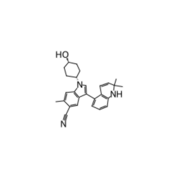 Cc1cc2c(cc1C#N)c(-c1cccc3c1C=CC(C)(C)N3)cn2[C@H]1CC[C@H](O)CC1